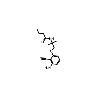 CCCC(=O)NC(C)(C)COc1cccc(N)c1C#N